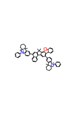 CC1(C)c2cc(-c3ccc4c(c3)C3(C)CCCCC3(C)N4c3ccccc3)c3ccccc3c2-c2cc(-c3ccc4c(c3)C3(C)CCCCC3(C)N4c3ccccc3)c3c(c21)OC1C=CC=CC31